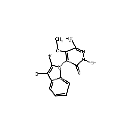 COc1c(C)nn(C)c(=O)c1-n1c(Br)c(Cl)c2ccccc21